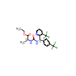 CCOC(=O)[C@H](C)NC(=O)N[C@@H](c1ccc(C(F)(F)F)cc1)c1ncccc1C(F)(F)F